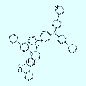 C/C=C\C(=C/CC1(c2ccccc2)C=CC=C(N(c2ccc(-c3ccccc3)cc2)c2ccc(-c3cccnc3)cc2)C=C1)N(c1ccc(-c2ccccc2)cc1)c1ccc(-c2ccccc2Cl)c(Cl)c1